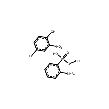 CC(=O)Nc1ccccc1[As](=O)(O)OO.O=[N+]([O-])c1cc(Cl)ccc1O